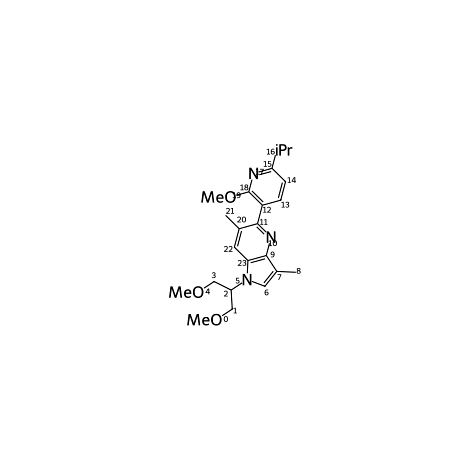 COCC(COC)n1cc(C)c2nc(-c3ccc(C(C)C)nc3OC)c(C)cc21